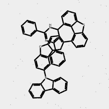 C1=C(c2cccc3sc4cccc(C5N=C(c6ccccc6)N=C(c6ccccc6)N5)c4c23)CC2C(=C1)Oc1ccc(-n3c4ccccc4c4ccccc43)cc12